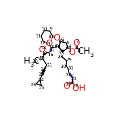 CC(=O)O[C@H]1C[C@@H](OC2CCCCO2)[C@H](/C=C/C(=O)[C@@H](C)CC#CC2CC2)[C@H]1CCCC/C=C/C(=O)O